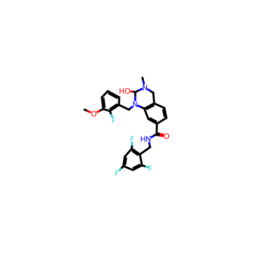 COc1cccc(CN2c3cc(C(=O)NCc4c(F)cc(F)cc4F)ccc3CN(C)C2O)c1F